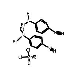 CCN(CC)c1ccc([N+]#N)cc1.CCN(CC)c1ccc([N+]#N)cc1.[Cl][Zn-2]([Cl])([Cl])[Cl]